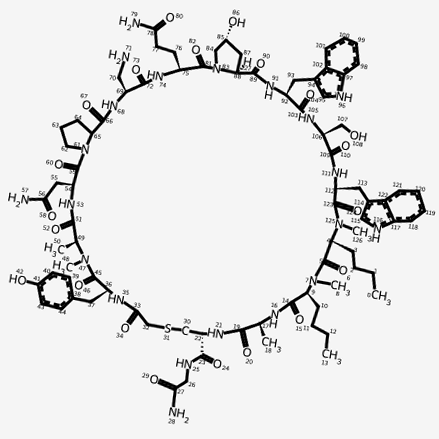 CCCC[C@H]1C(=O)N(C)[C@@H](CCCC)C(=O)N[C@@H](C)C(=O)N[C@H](C(=O)NCC(N)=O)CSCC(=O)N[C@@H](Cc2ccc(O)cc2)C(=O)N(C)[C@@H](C)C(=O)N[C@@H](CC(N)=O)C(=O)N2CCCC2C(=O)N[C@@H](CN)C(=O)N[C@@H](CCC(N)=O)C(=O)N2C[C@H](O)C[C@H]2C(=O)N[C@@H](Cc2c[nH]c3ccccc23)C(=O)N[C@@H](CO)C(=O)N[C@@H](Cc2c[nH]c3ccccc23)C(=O)N1C